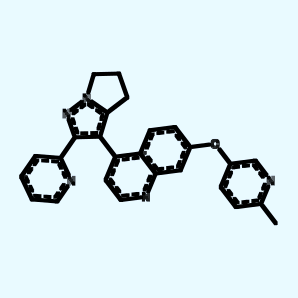 Cc1ccc(Oc2ccc3c(-c4c(-c5ccccn5)nn5c4CCC5)ccnc3c2)cn1